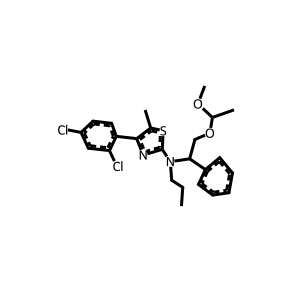 CCCN(c1nc(-c2ccc(Cl)cc2Cl)c(C)s1)C(COC(C)OC)c1ccccc1